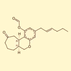 CCCC=CCc1cc(OC=O)c2c(c1)OC[C@H]1CCCC(=O)C[C@@H]21